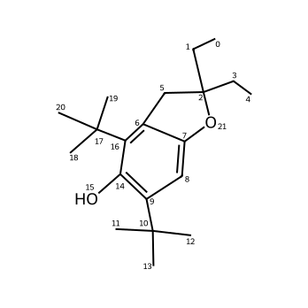 CCC1(CC)Cc2c(cc(C(C)(C)C)c(O)c2C(C)(C)C)O1